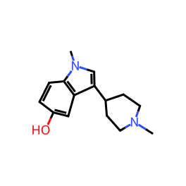 CN1CCC(c2cn(C)c3ccc(O)cc23)CC1